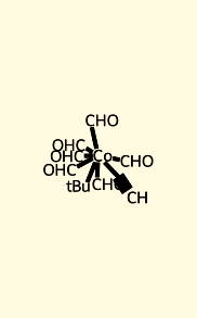 C#[C][Co]([CH]=O)([CH]=O)([CH]=O)([CH]=O)([CH]=O)([CH]=O)[C](C)(C)C